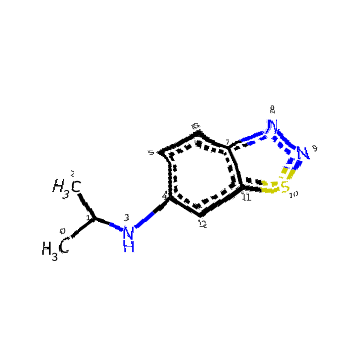 CC(C)Nc1ccc2nnsc2c1